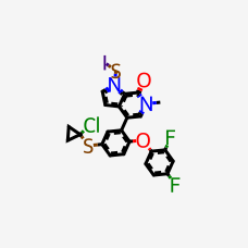 Cn1cc(-c2cc(SC3(Cl)CC3)ccc2Oc2ccc(F)cc2F)c2ccn(SI)c2c1=O